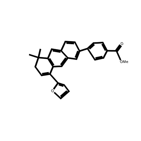 COC(=O)c1ccc(-c2ccc3cc4c(cc3c2)C(c2ccco2)=CCC4(C)C)cc1